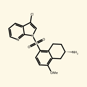 COc1ccc(S(=O)(=O)n2cc(Cl)c3cccnc32)c2c1C[C@@H](N)CC2